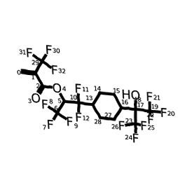 C=C(C(=O)OC(C(F)(F)F)C(F)(F)C1CCC(C(O)(C(F)(F)F)C(F)(F)F)CC1)C(F)(F)F